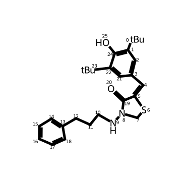 CC(C)(C)c1cc(C=C2SCN(NCCCc3ccccc3)C2=O)cc(C(C)(C)C)c1O